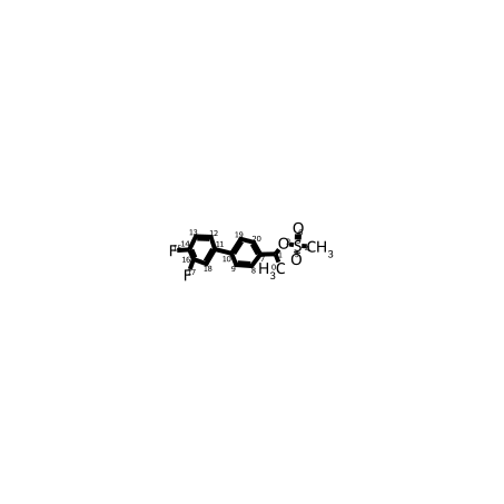 CC(OS(C)(=O)=O)c1ccc(-c2ccc(F)c(F)c2)cc1